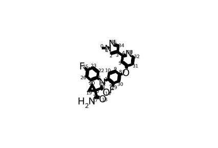 Cn1cc(-c2cc(Oc3ccc(N(C(=O)C4(C(N)=O)CC4)c4ccc(F)cc4)c(F)c3)ccn2)cn1